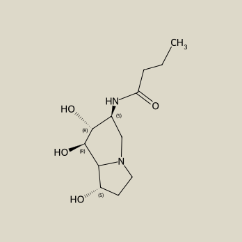 CCCC(=O)N[C@H]1CN2CC[C@H](O)C2[C@@H](O)[C@@H]1O